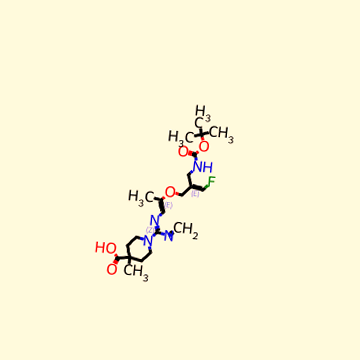 C=N/C(=N\C=C(/C)OC/C(=C/F)CNC(=O)OC(C)(C)C)N1CCC(C)(C(=O)O)CC1